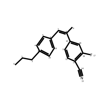 CCCc1ccc(C=C(C)c2ccc(C#N)c(F)c2)cc1